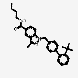 CCCCNC(=O)c1ccc2c(c1)c(C)nn2Cc1ccc(-c2ccccc2C(C)(C)C)cc1